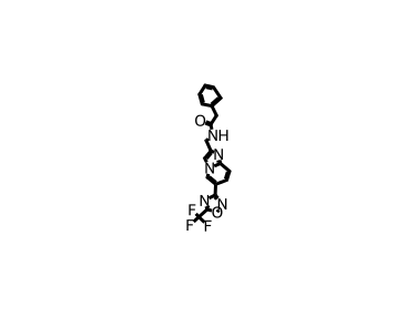 O=C(Cc1ccccc1)NCc1cn2cc(-c3noc(C(F)(F)F)n3)ccc2n1